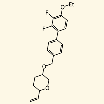 C=CC1CCC(OCc2ccc(-c3ccc(OCC)c(F)c3F)cc2)CO1